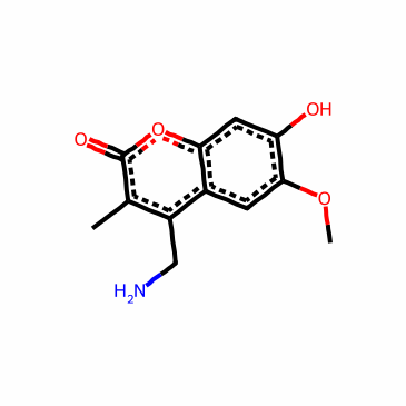 COc1cc2c(CN)c(C)c(=O)oc2cc1O